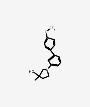 CC1(O)CCN(c2cccc(-c3ccc(OC(F)(F)F)cc3)c2)C1